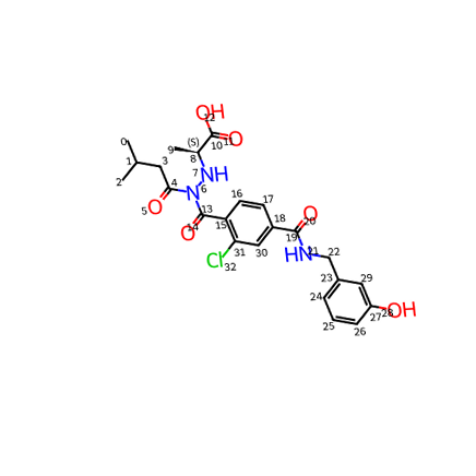 CC(C)CC(=O)N(N[C@@H](C)C(=O)O)C(=O)c1ccc(C(=O)NCc2cccc(O)c2)cc1Cl